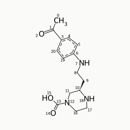 CC(=O)c1ccc(NCC[C@@H]2CN(C(=O)O)CCN2)cc1